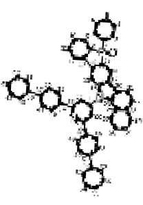 O=P1(c2ccccc2)c2ccccc2-c2cc3c(cc21)c1ccc2ccccc2c1n3-c1cc(-c2ccc(-c3ccccc3)cc2)nc(-c2ccc(-c3ccccc3)cc2)c1